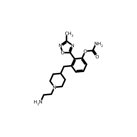 Cc1noc(-c2c(CC3CCN(CCN)CC3)cccc2OC(N)=O)n1